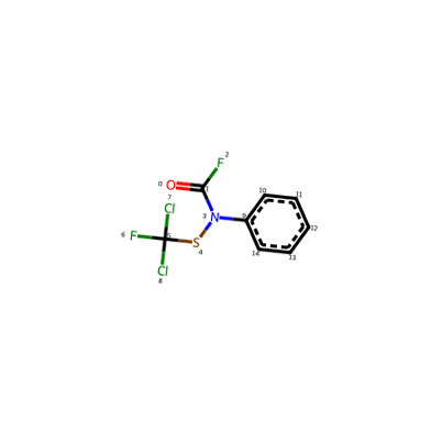 O=C(F)N(SC(F)(Cl)Cl)c1ccccc1